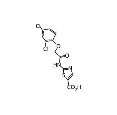 O=C(COc1ccc(Cl)cc1Cl)Nc1ncc(C(=O)O)s1